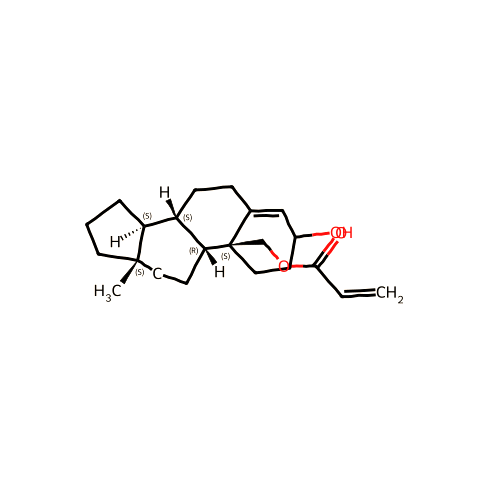 C=CC(=O)OC[C@]12CCC(O)C=C1CC[C@@H]1[C@H]2CC[C@]2(C)CCC[C@@H]12